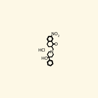 Cl.O=C1c2cc([N+](=O)[O-])ccc2CCC1CN1CCC(O)(c2ccccc2)CC1